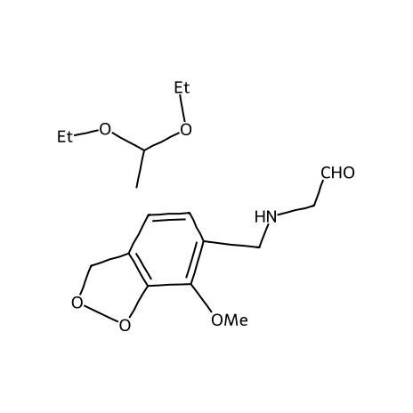 CCOC(C)OCC.COc1c(CNCC=O)ccc2c1OOC2